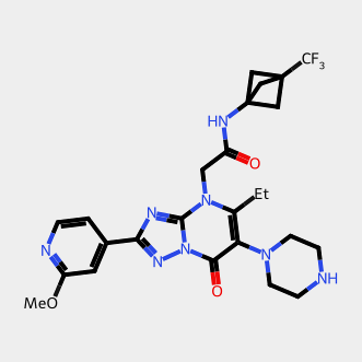 CCc1c(N2CCNCC2)c(=O)n2nc(-c3ccnc(OC)c3)nc2n1CC(=O)NC12CC(C(F)(F)F)(C1)C2